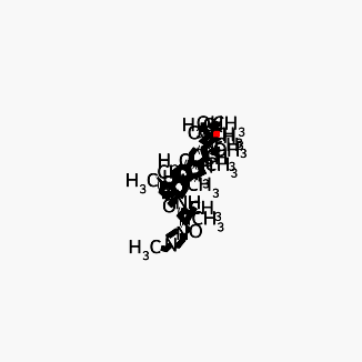 C=C(C)[C@@H]1CC[C@]2(C(=O)N[C@H]3C[C@@H](C(=O)N4CCN(CC)CC4)C3(C)C)CC[C@]3(C)[C@H](CCC4[C@]5(C)CC[C@H]([C@]6(C(=O)O)C[C@](C(=O)O)(C(C)(C)C)C6(C)C)C(C)(C)[C@H]5CC[C@]43C)[C@@H]12